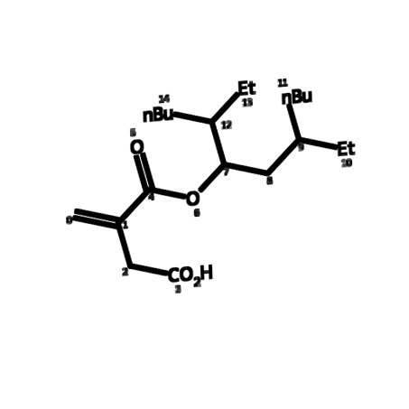 C=C(CC(=O)O)C(=O)OC(CC(CC)CCCC)C(CC)CCCC